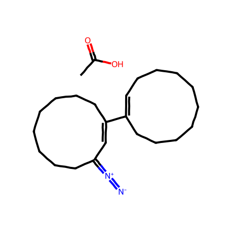 CC(=O)O.[N-]=[N+]=C1C=C(C2=CCCCCCCCCC2)CCCCCCCC1